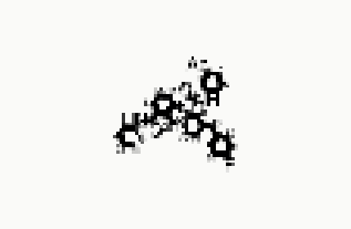 CC(=O)c1cccc(NC(=O)Nc2cccc(C(=O)Nc3ccccn3)c2CN2CCC(Cc3ccc(F)cc3)CC2)c1